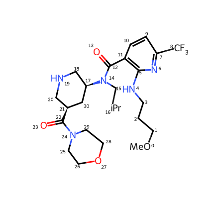 COCCCNc1nc(C(F)(F)F)ccc1C(=O)N(CC(C)C)[C@@H]1CNC[C@H](C(=O)N2CCOCC2)C1